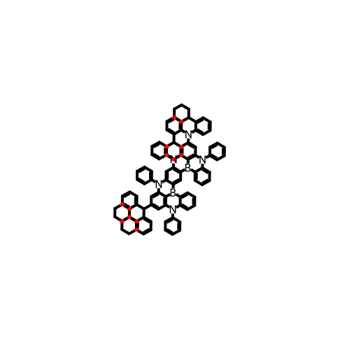 c1ccc(N2c3ccccc3B3c4cc5c(cc4N(c4ccccc4)c4cc(C(c6ccccc6C6CCCCC6)c6ccccc6C6CCCCC6)cc2c43)N(c2ccccc2)c2cc(N(c3ccccc3C3CCCCC3)c3ccccc3C3CCCCC3)cc3c2B5c2ccccc2N3c2ccccc2)cc1